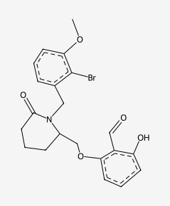 COc1cccc(CN2C(=O)CCCC2COc2cccc(O)c2C=O)c1Br